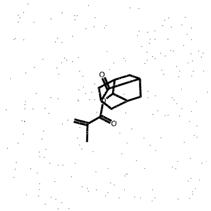 C=C(C)C(=O)OC1C2CC3CC1CC(C2)C3=O